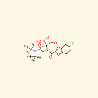 [2H]C([2H])([2H])N(C(=O)CN1C(=O)c2oc3ccc(F)cc3c2OC[C@]1(C)C(=O)O)C([2H])([2H])[2H]